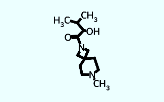 CC(C)C(O)C(=O)N1CC2(CCN(C)CC2)C1